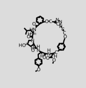 COC(=O)[C@@H]1Cc2ccc(cc2)OCCn2cc(nn2)COc2ccccc2C(=O)N[C@H](CC(C)C)C(=O)N2C[C@@H](O)C[C@@H]2C(=O)N[C@@H](Cc2ccc(OC)cc2)C(=O)N1